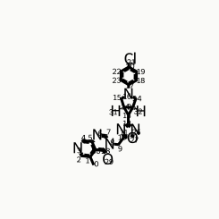 Cc1cncc2ncn(Cc3nc(C4[C@H]5CN(c6ccc(Cl)cc6)C[C@@H]45)no3)c(=O)c12